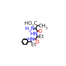 CCC(NC(=O)[C@H](CC)NC(=O)[C@@H](N)C(C)C(=O)O)c1ccccc1